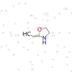 [CH]C=C1NCCO1